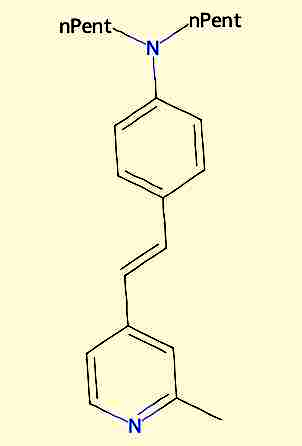 CCCCCN(CCCCC)c1ccc(C=Cc2ccnc(C)c2)cc1